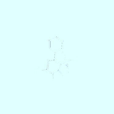 O=c1[nH]c(O)cc(-c2ccccc2)c1S(=O)(=O)O